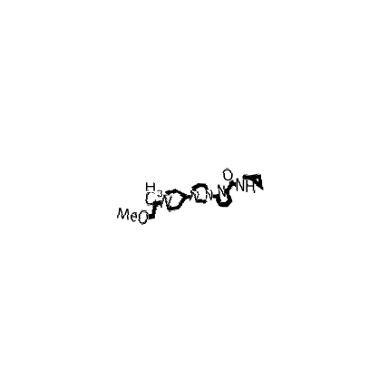 COCC(C)N1CCC(N2CCCN(c3cccc(C(=O)NCC4CC4)n3)CC2)CC1